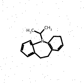 CC(C)N1C2=C(C=CCC2)CCc2ccccc21